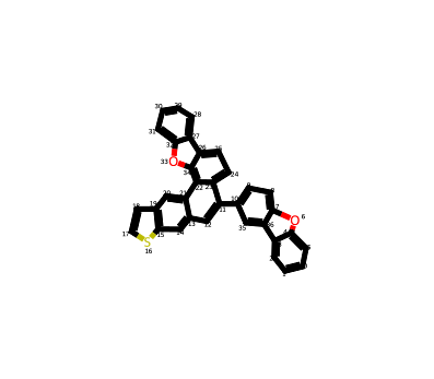 c1ccc2c(c1)oc1ccc(-c3cc4cc5sccc5cc4c4c3ccc3c5ccccc5oc34)cc12